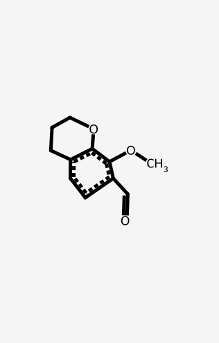 COc1c(C=O)ccc2c1OCCC2